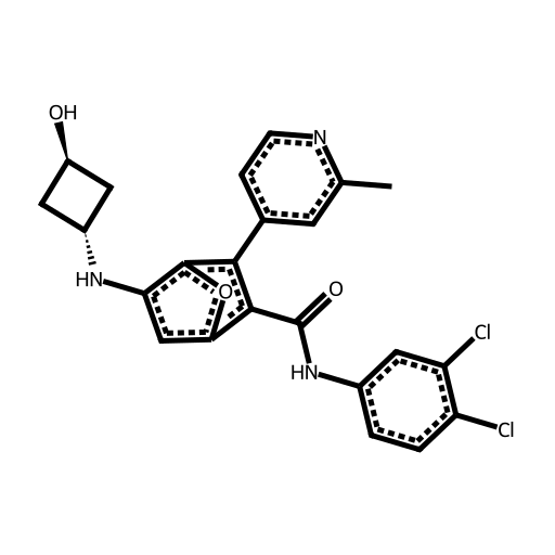 Cc1cc(-c2c(C(=O)Nc3ccc(Cl)c(Cl)c3)c3cc(N[C@H]4C[C@H](O)C4)c2o3)ccn1